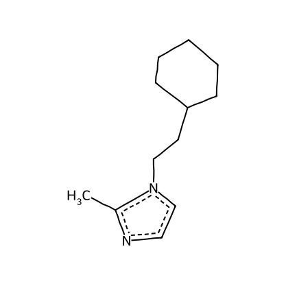 Cc1nccn1CCC1CCCCC1